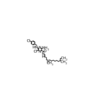 C=CC(=C)CCCCCCN(C)CCCCNC(=O)c1nc(Cl)c(NCc2ccc(Cl)cc2)nc1N